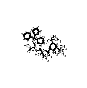 CC(C)C(O)(NC(=O)c1cc(C(C)(C)C)cc(C(C)(C)C)c1)C(=O)N[C@@H](CSC(c1ccccc1)(c1ccccc1)c1ccccc1)C(=O)O